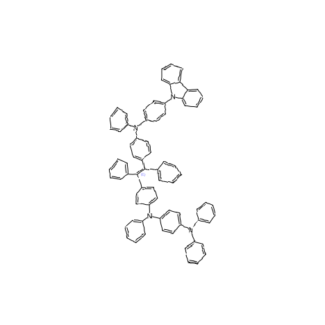 c1ccc(/C(=C(/c2ccccc2)c2ccc(N(c3ccccc3)c3ccc(-n4c5ccccc5c5ccccc54)cc3)cc2)c2ccc(N(c3ccccc3)c3ccc(N(c4ccccc4)c4ccccc4)cc3)cc2)cc1